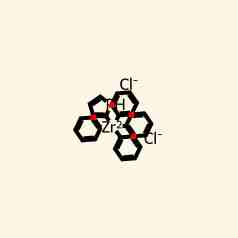 [Cl-].[Cl-].c1cc[c]([Zr+2]([c]2ccccc2)([c]2ccccc2)([c]2ccccc2)[c]2ccc[pH]2)cc1